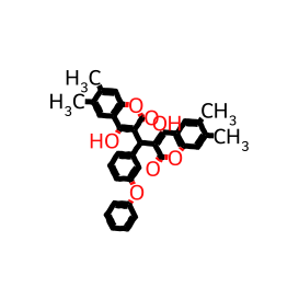 Cc1cc2oc(=O)c(C(c3cccc(Oc4ccccc4)c3)c3c(O)c4cc(C)c(C)cc4oc3=O)c(O)c2cc1C